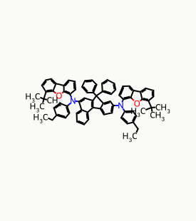 CCc1ccc(N(c2ccc3c(c2)C(c2ccccc2)(c2ccccc2)c2cc(N(c4ccc(CC)cc4)c4cccc5c4oc4c(C(C)(C)C)cccc45)c4ccccc4c2-3)c2cccc3c2oc2c(C(C)(C)C)cccc23)cc1